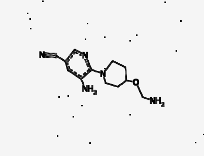 N#Cc1cnc(N2CCC(OCN)CC2)c(N)c1